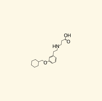 O=C(O)CCNCCc1cccc(OCC2CCCCC2)c1